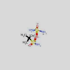 CC(C)(C)S(N)(=O)=O.NS(N)(=O)=O